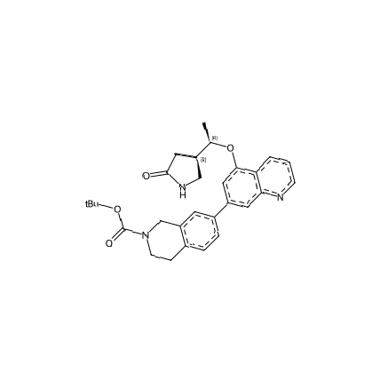 C[C@@H](Oc1cc(-c2ccc3c(c2)CN(C(=O)OC(C)(C)C)CC3)cc2ncccc12)[C@H]1CNC(=O)C1